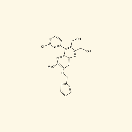 COc1cc2c(-c3ccnc(Cl)c3)c(CO)c(CO)cc2cc1OCc1ccccc1